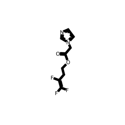 O=C(Cn1ccnc1)OCCC(F)=C(F)F